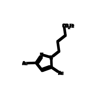 CCOC(=O)CCCn1nc(C(C)=O)cc1C(C)=O